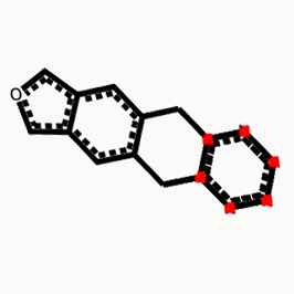 c1cnc2c(c1)C1c3cc4cocc4cc3C2c2cncnc21